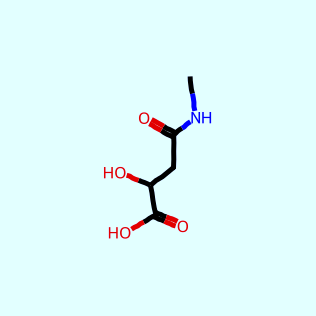 CNC(=O)CC(O)C(=O)O